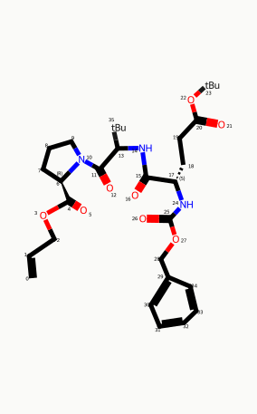 C=CCOC(=O)[C@H]1CCCN1C(=O)C(NC(=O)[C@H](CCC(=O)OC(C)(C)C)NC(=O)OCc1ccccc1)C(C)(C)C